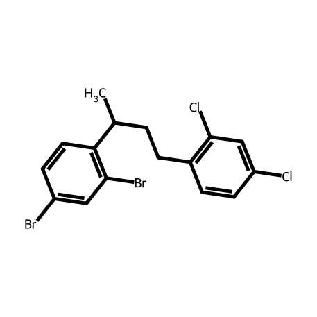 CC(CCc1ccc(Cl)cc1Cl)c1ccc(Br)cc1Br